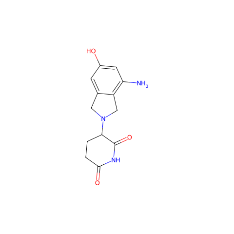 Nc1cc(O)cc2c1CN(C1CCC(=O)NC1=O)C2